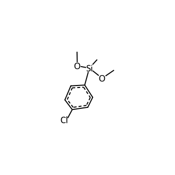 CO[Si](C)(OC)c1ccc(Cl)cc1